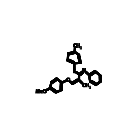 COc1ccc(OC=C(C)C(=Nc2ccccc2)Sc2ccc(C)cc2)cc1